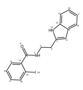 O=C(NCCc1cc2ccccc2[nH]1)c1ccccc1I